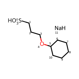 O=S(=O)(O)CCCOC1CCCCC1.[NaH]